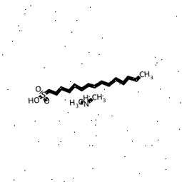 CCCCCCCCCCCCCCCS(=O)(=O)O.CNC